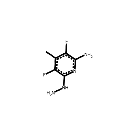 Cc1c(F)c(N)nc(NN)c1F